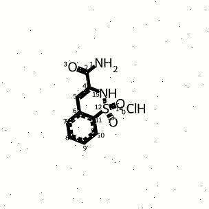 Cl.NC(=O)C1=Cc2ccccc2S(=O)(=O)N1